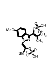 COc1ccc2c(C(OP(=O)(O)O)=C(C)C)nn(C=C(OP(=O)(O)O)C(C)(C)C)c2c1